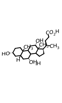 C[C@H](CCC(=O)O)[C@H]1CCC2C3C(C[C@H](O)[C@@]21C)[C@@]1(C)CC[C@@H](O)C[C@H]1C[C@H]3O.I